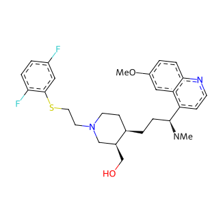 CN[C@@H](CC[C@@H]1CCN(CCSc2cc(F)ccc2F)C[C@@H]1CO)c1ccnc2ccc(OC)cc12